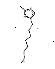 CCCCCCCCc1csc(C)n1